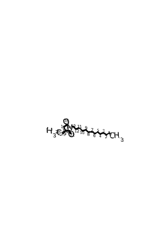 CCCCCCCCCCCCCCN1C(=O)CC(CC)C1=O